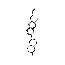 C=CCCc1cc2ccc(C3CCC4CC(C)CCC4C3)cc2cc1F